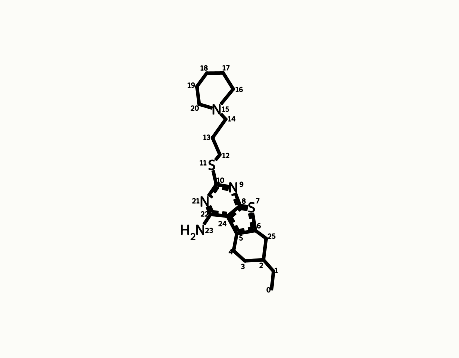 CCC1CCc2c(sc3nc(SCCCN4CCCCC4)nc(N)c23)C1